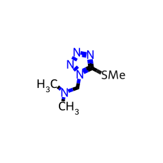 CSc1nnnn1CN(C)C